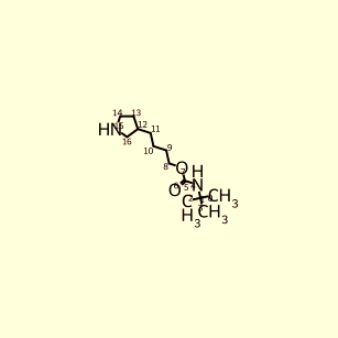 CC(C)(C)NC(=O)OCCCCC1CCNC1